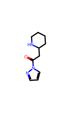 O=C(CC1CCCCN1)n1cccn1